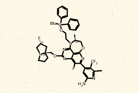 Cc1nc(N)cc(-c2nc3c4c(nc(OC[C@@]56CCCN5C[C@H](F)C6)nc4c2F)N(CCO[Si](c2ccccc2)(c2ccccc2)C(C)(C)C)[C@@H](C)CO3)c1C(F)(F)F